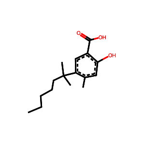 CCCCCC(C)(C)c1cc(C(=O)O)c(O)cc1C